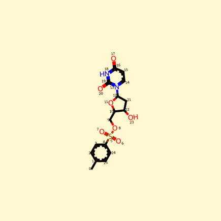 Cc1ccc(S(=O)(=O)OCC2OC(n3ccc(=O)[nH]c3=O)CC2O)cc1